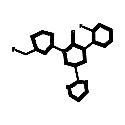 O=c1c(-c2ccccc2F)cc(-c2ncccn2)cn1-c1cccc(CF)c1